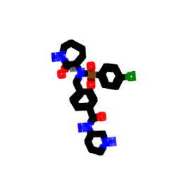 O=C(NC1CCCNC1)c1ccc(CN([C@@H]2CCCCNC2=O)S(=O)(=O)c2ccc(Cl)cc2)cc1